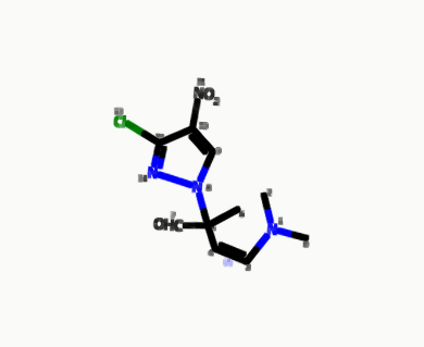 CN(C)/C=C\C(C)(C=O)n1cc([N+](=O)[O-])c(Cl)n1